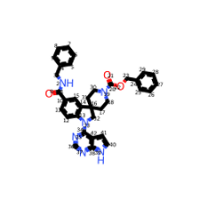 O=C(NCc1ccccc1)c1ccc2c(c1)C1(CCN(C(=O)OCc3ccccc3)CC1)CN2c1ncnc2[nH]ccc12